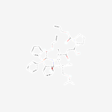 C=CCOC(=O)C(N1C(=O)[C@@H]([C@@H](CO[SiH](C)C)C(C)(C)C)[C@H]1[C@@H](C)C(=O)CC(O)[C@@H]1CCCN1C(=O)OCC=C)=P(c1ccccc1)(c1ccccc1)c1ccccc1